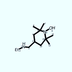 CCNCC1CC(C)(C)N(O)C(C)(C)C1